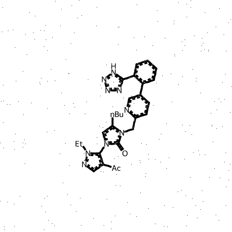 CCCCc1cn(-c2c(C(C)=O)cnn2CC)c(=O)n1Cc1ccc(-c2ccccc2-c2nnn[nH]2)cn1